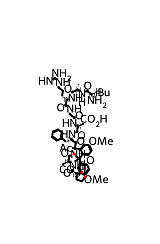 CC[C@H](C)[C@H](N)C(=O)N[C@@H](C)C(=O)N[C@@H](CCCNC(=N)N)C(=O)NCC(=O)N[C@@H](CC(=O)O)C(=O)N[C@@H](Cc1ccccc1)C(=O)C(NC(=O)[C@H](CC(=O)O)NC(=O)[C@@H]1CCCN1)(C(C)=O)c1cc(OC)cc2c1C(C)(C)c1ccc(OC)cc1O2